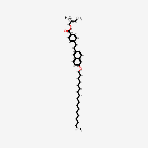 CCCCCCCCCCCCCCCCCCOc1ccc2cc(CCc3ccc(C(=O)OC[C@H](C)CC)cc3)ccc2c1